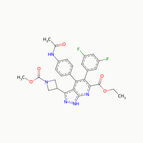 CCOC(=O)c1nc2[nH]nc(C3CN(C(=O)OC)C3)c2c(-c2ccc(NC(C)=O)cc2)c1-c1cc(F)cc(F)c1